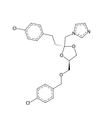 Clc1ccc(CC[C@]2(Cn3ccnc3)OC[C@@H](COCc3ccc(Cl)cc3)O2)cc1